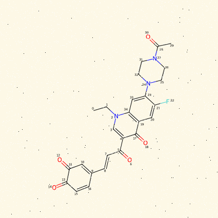 CCn1cc(C(=O)/C=C/C2=CC(=O)C(=O)C=C2)c(=O)c2cc(F)c(N3CCN(C(C)=O)CC3)cc21